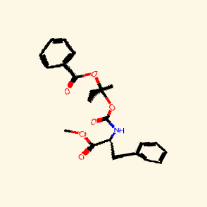 COC(=O)[C@H](Cc1ccccc1)NC(=O)OC(C)(C)OC(=O)c1ccccc1